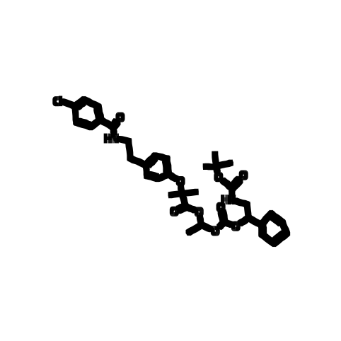 CC(OC(=O)OC(CNC(=O)OC(C)(C)C)c1ccccc1)OC(=O)C(C)(C)Oc1ccc(CCNC(=O)c2ccc(Cl)cc2)cc1